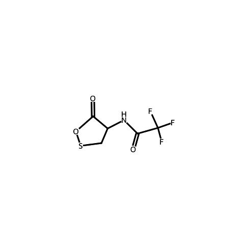 O=C1OSCC1NC(=O)C(F)(F)F